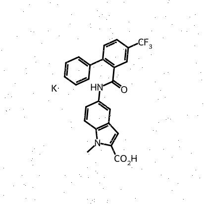 Cn1c(C(=O)O)cc2cc(NC(=O)c3cc(C(F)(F)F)ccc3-c3ccccc3)ccc21.[K]